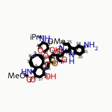 COC(=O)NC1=C2C#C/C=C\C#C[C@H](OC3OC(C)C(SC)(C(=O)c4nccc5c4[nH]c4ccc(N)cc45)C(O)C3OC3CC(OC)C(NC(C)C)CO3)C2/C(=C\CSC(C)=O)[C@@H](O)CC1=O